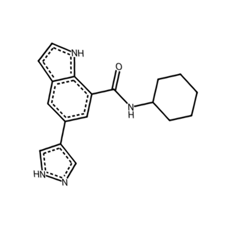 O=C(NC1CCCCC1)c1cc(-c2cn[nH]c2)cc2cc[nH]c12